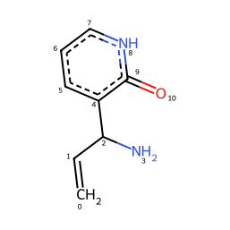 C=CC(N)c1ccc[nH]c1=O